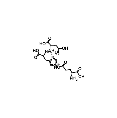 N[C@@H](CC(=O)O)C(=O)O.N[C@@H](CCC(=O)O)C(=O)O.N[C@@H](Cc1c[nH]cn1)C(=O)O